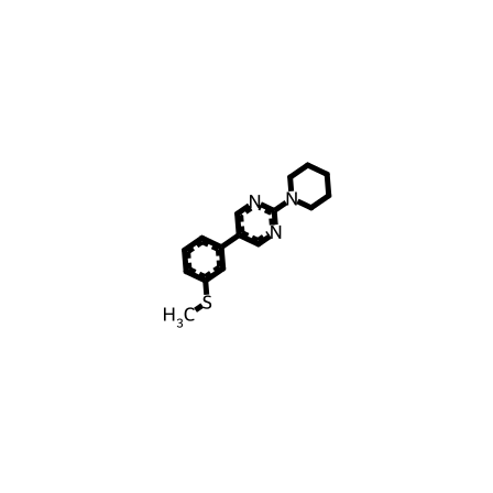 CSc1cccc(-c2cnc(N3CCCCC3)nc2)c1